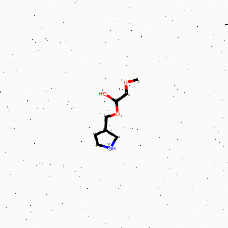 COCC(O)OCC1CCNC1